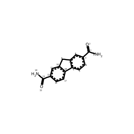 NC(=O)c1ccc2c(c1)Cc1cc(C(N)=O)ccc1-2